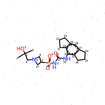 CC(C)(O)CN1CC(S(=O)(=O)NC(=O)Nc2c3c(cc4c2CCC4)CCC3)C1